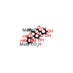 COC(=O)CC1OCC(O)C(O)[C@H]1O[C@H]1OC(CC(=O)OC)[C@H](O[C@H]2OC(C(=O)O)[C@H](OC)C(O)C2O)C(O)C1O